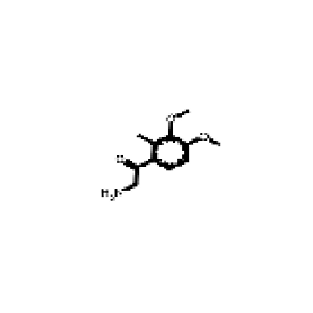 COc1ccc(C(=O)CN)c(C)c1OC